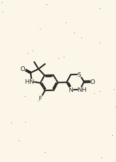 CC1(C)C(=O)Nc2c(F)cc(C3=NNC(=O)SC3)cc21